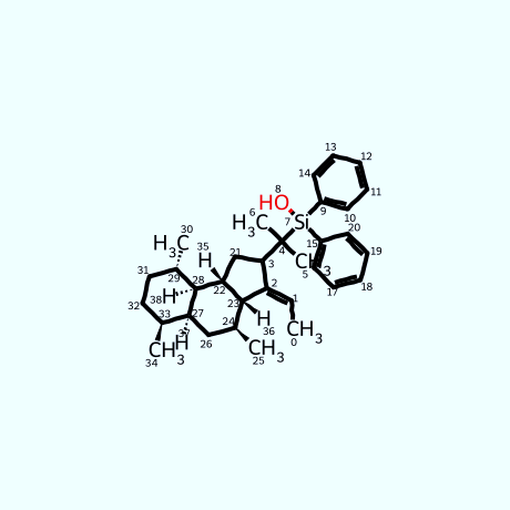 C/C=C1/C(C(C)(C)[Si](O)(c2ccccc2)c2ccccc2)C[C@@H]2[C@H]1[C@@H](C)C[C@@H]1[C@H]2[C@@H](C)CC[C@@H]1C